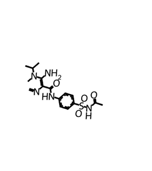 C=N/C(C(=O)Nc1ccc(S(=O)(=O)NC(C)=O)cc1)=C(/N)N(C)C(C)C